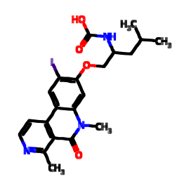 Cc1nccc2c1c(=O)n(C)c1cc(OCC(CC(C)C)NC(=O)O)c(I)cc21